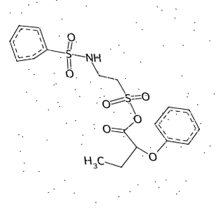 CCC(Oc1ccccc1)C(=O)OS(=O)(=O)CCNS(=O)(=O)c1ccccc1